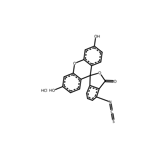 Cl.O=C1OC2(c3ccc(O)cc3Oc3cc(O)ccc32)c2cccc(N=C=S)c21